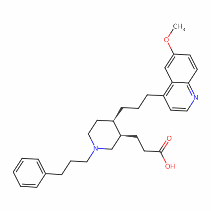 COc1ccc2nccc(CCC[C@@H]3CCN(CCCc4ccccc4)C[C@@H]3CCC(=O)O)c2c1